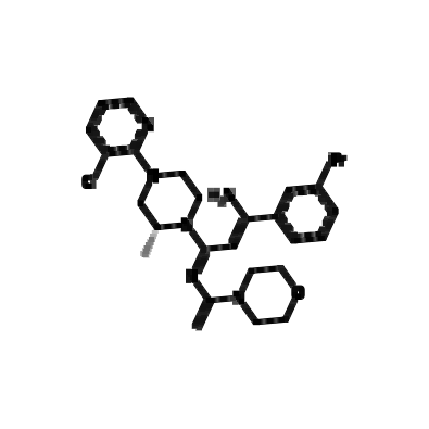 C=C(/N=C(\C=C(/N)c1cccc(C(C)C)c1)N1CCN(c2ncccc2Cl)C[C@H]1C)N1CCOCC1